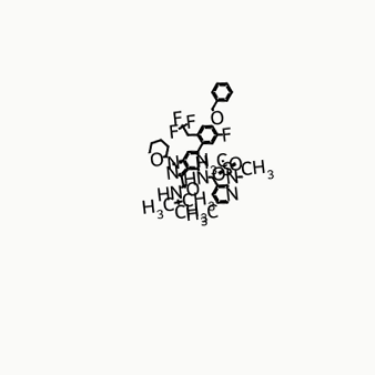 CCN(c1ncc(C)cc1CNc1nc(-c2cc(F)c(OCc3ccccc3)cc2CC(F)(F)F)cc2c1c(C(=O)NC(C)(C)C)nn2C1CCCCO1)S(C)(=O)=O